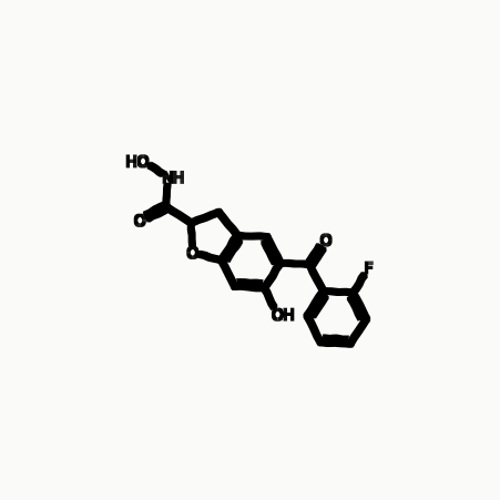 O=C(c1cc2c(cc1O)OC(C(=O)NO)C2)c1ccccc1F